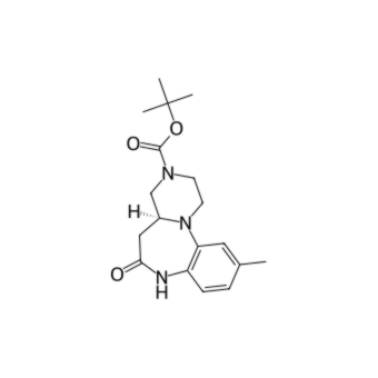 Cc1ccc2c(c1)N1CCN(C(=O)OC(C)(C)C)C[C@@H]1CC(=O)N2